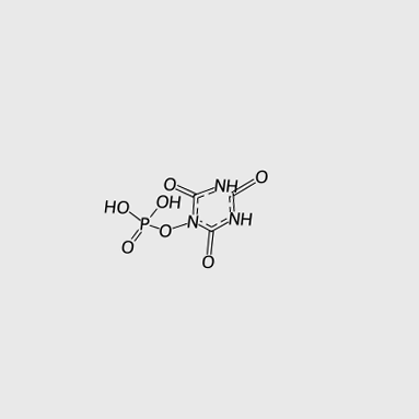 O=c1[nH]c(=O)n(OP(=O)(O)O)c(=O)[nH]1